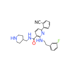 N#Cc1ccccc1-c1ccc(C(=O)NCC2CCNCC2)c(NCCc2cccc(F)c2)n1